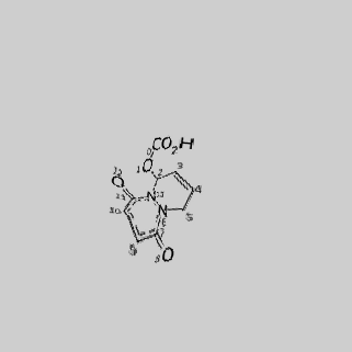 O=C(O)OC1C=CCn2c(=O)ccc(=O)n21